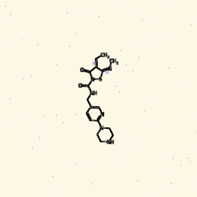 C/C=C1/C(=O)N(C(=O)NCc2ccc(N3CCNCC3)nc2)S/C1=N/C